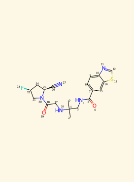 CC(C)(CNC(=O)c1ccc2ncsc2c1)NCC(=O)N1C[C@@H](F)C[C@H]1C#N